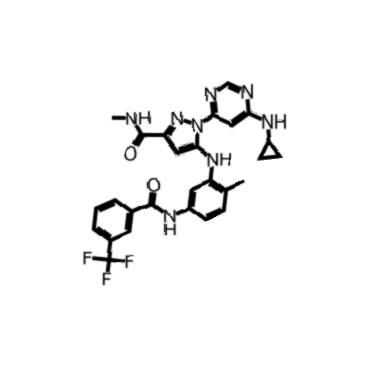 CNC(=O)c1cc(Nc2cc(NC(=O)c3cccc(C(F)(F)F)c3)ccc2C)n(-c2cc(NC3CC3)ncn2)n1